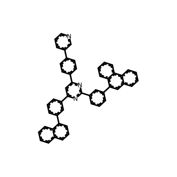 c1cncc(-c2ccc(-c3cc(-c4cccc(-c5cccc6ccccc56)c4)nc(-c4cccc(-c5cc6ccccc6c6ccccc56)c4)n3)cc2)c1